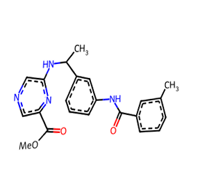 COC(=O)c1cncc(NC(C)c2cccc(NC(=O)c3cccc(C)c3)c2)n1